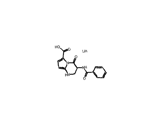 O=C(NC1CNc2ccc(C(=O)O)n2C1=O)c1ccccc1.[LiH]